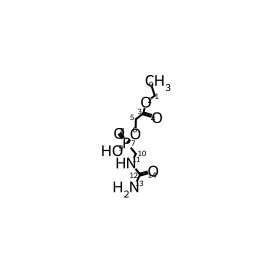 CCOC(=O)COP(=O)(O)CNC(N)=O